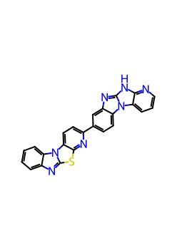 c1ccc2c(c1)nc1sc3nc(-c4ccc5c(c4)nc4[nH]c6ncccc6n45)ccc3n12